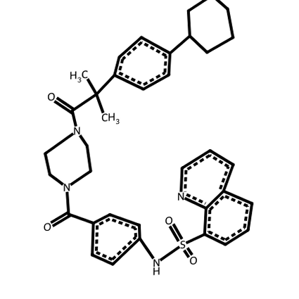 CC(C)(C(=O)N1CCN(C(=O)c2ccc(NS(=O)(=O)c3cccc4cccnc34)cc2)CC1)c1ccc(C2CCCCC2)cc1